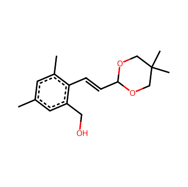 Cc1cc(C)c(/C=C/C2OCC(C)(C)CO2)c(CO)c1